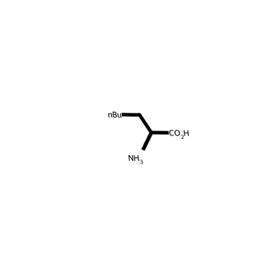 CCCCCC(C)C(=O)O.N